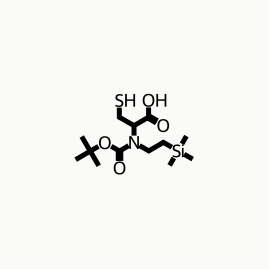 CC(C)(C)OC(=O)N(CC[Si](C)(C)C)C(CS)C(=O)O